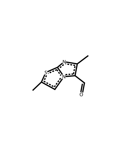 Cc1cn2c(C=O)c(C)nc2s1